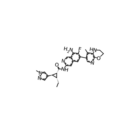 CC[C@H]1[C@@H](C(=O)Nc2cc3cc(-c4cnc5c(c4C)NCCO5)c(F)c(N)c3cn2)[C@@H]1c1cnn(C)c1